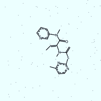 C=C(Sc1nccc(C)n1)N(C)/C(=C\C)C(=O)N(C)c1cccnc1